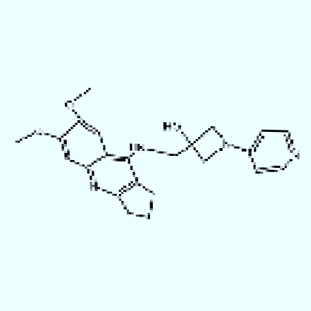 COc1cc2nc3c(c(NCC4(O)CN(c5ccncc5)C4)c2cc1OC)CCC3